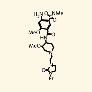 CCN1CCN(CCN2CCC(NC(=O)c3cc(S(=O)(=O)NC)c(N)cc3OC)C(OC)C2)C1=O